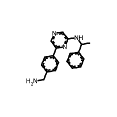 CC(Nc1cncc(-c2ccc(CN)cc2)n1)c1ccccc1